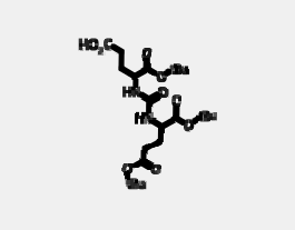 CC(C)(C)OC(=O)CCC(NC(=O)NC(CCC(=O)O)C(=O)OC(C)(C)C)C(=O)OC(C)(C)C